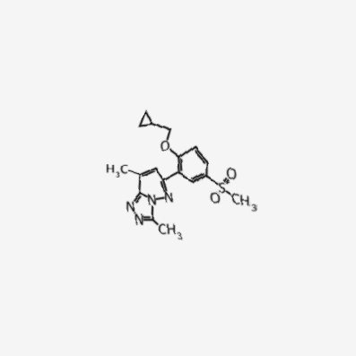 Cc1cc(-c2cc(S(C)(=O)=O)ccc2OCC2CC2)nn2c(C)nnc12